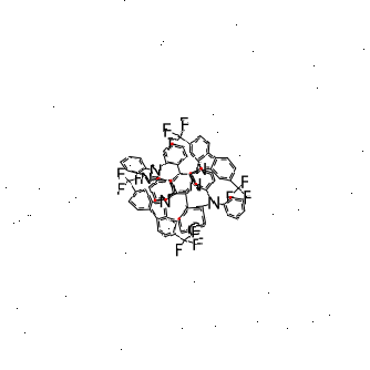 N#Cc1c(-c2ccccc2N(c2ccccc2)c2ccccc2)c(-n2c3cc(C(F)(F)F)ccc3c3ccc(C(F)(F)F)cc32)nc(-c2ccccc2N(c2ccccc2)c2ccccc2)c1-n1c2cc(C(F)(F)F)ccc2c2ccc(C(F)(F)F)cc21